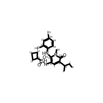 CCC(C)c1cc(NS(=O)(=O)C2CCC2)c(Nc2ccc(I)cc2F)n(C)c1=O